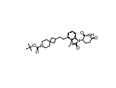 Cn1c(=O)n(C2CCC(=O)NC2=O)c2cccc(CCC3CC4(CCN(C(=O)OC(C)(C)C)CC4)C3)c21